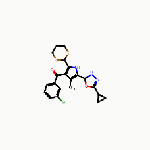 Cc1c(C2NN=C(C3CC3)O2)[nH]c(C2SCCCS2)c1C(=O)c1cccc(Br)c1